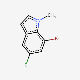 Cn1ccc2cc(Cl)cc(Br)c21